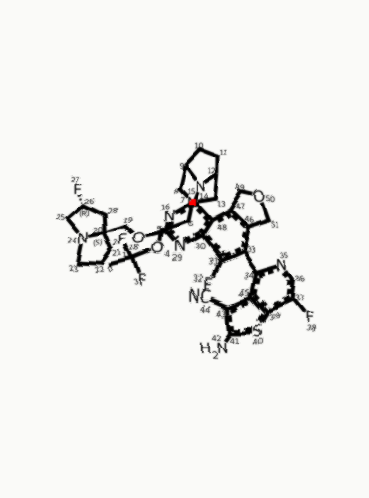 CC(F)(F)OCCN1CC2CCC(C1)N2c1nc(OC[C@@]23CCCN2C[C@H](F)C3)nc2c(F)c(-c3ncc(F)c4sc(N)c(C#N)c34)c3c(c12)COC3